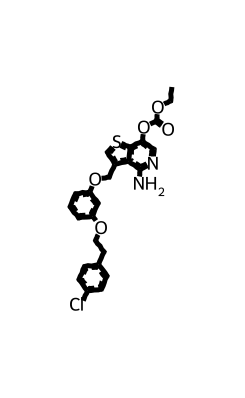 CCOC(=O)Oc1cnc(N)c2c(COc3cccc(OCCc4ccc(Cl)cc4)c3)csc12